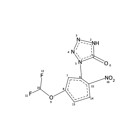 O=c1[nH]nnn1-c1cc(OC(F)F)ccc1[N+](=O)[O-]